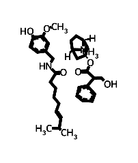 CN1[C@@H]2CC[C@H]1C[C@@H](OC(=O)C(CO)c1ccccc1)C2.COc1cc(CNC(=O)CCCC/C=C/C(C)C)ccc1O